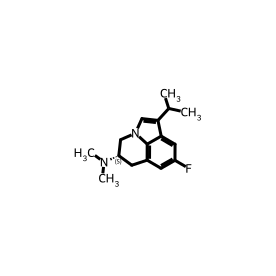 CC(C)c1cn2c3c(cc(F)cc13)C[C@H](N(C)C)C2